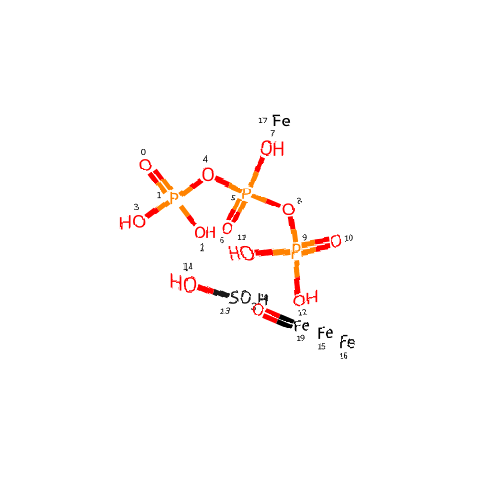 O=P(O)(O)OP(=O)(O)OP(=O)(O)O.O=S(=O)(O)O.[Fe].[Fe].[Fe].[O]=[Fe]